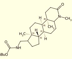 CC(C)COC(=O)NCC1CC[C@H]2[C@@H]3CCC4N(C)C(=O)CC[C@]4(C)[C@@H]3CC[C@]12C